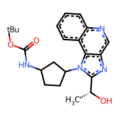 C[C@@H](O)c1nc2cnc3ccccc3c2n1C1CCC(NC(=O)OC(C)(C)C)C1